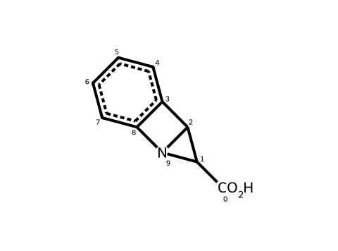 O=C(O)C1C2c3ccccc3N12